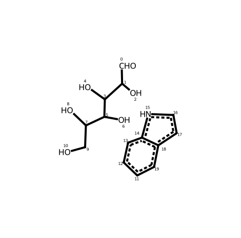 O=CC(O)C(O)C(O)C(O)CO.c1ccc2[nH]ccc2c1